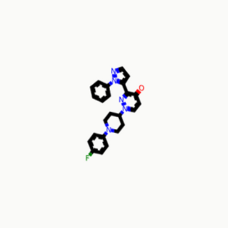 O=c1ccn(C2CCN(c3ccc(F)cc3)CC2)nc1-c1ccnn1-c1ccccc1